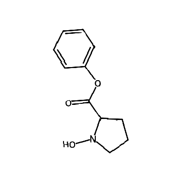 O=C(Oc1ccccc1)C1CCCN1O